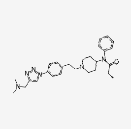 CCC(=O)N(c1ccccc1)C1CCN(CCc2ccc(-n3cc(CN(C)C)nn3)cc2)CC1